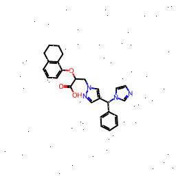 O=C(O)C(Cn1cc(C(c2ccccc2)n2ccnc2)cn1)Oc1cccc2c1CCCC2